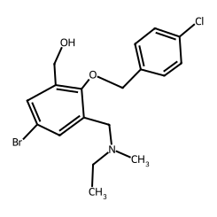 CCN(C)Cc1cc(Br)cc(CO)c1OCc1ccc(Cl)cc1